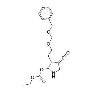 CCOC(=O)OC1NCC(=C=O)C1CCOCOCc1ccccc1